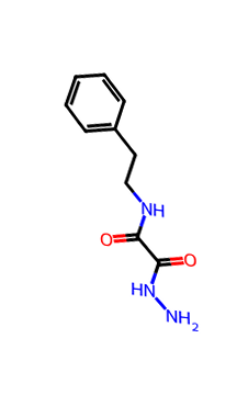 NNC(=O)C(=O)NCCc1ccccc1